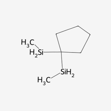 C[SiH2]C1([SiH2]C)CCCC1